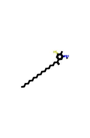 C=C(CCCCCCCCCCCCCCCCC)c1cc(S)c(C)c(NC)c1